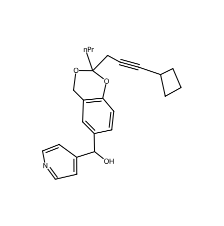 CCCC1(CC#CC2CCC2)OCc2cc(C(O)c3ccncc3)ccc2O1